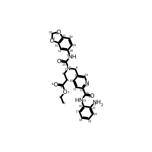 CCOC(=O)CCN(Cc1ccc(C(=O)Nc2ccccc2N)nc1)C(=O)Nc1ccc2c(c1)OCO2